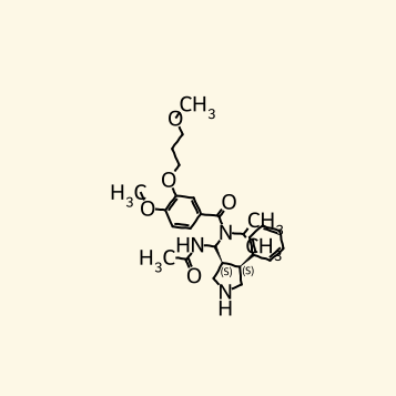 COCCCOc1cc(C(=O)N(C(C)C)C(NC(C)=O)[C@@H]2CNC[C@@H]2c2ccccc2)ccc1OC